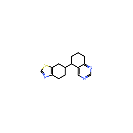 c1ncc2c(n1)CCCC2C1CCc2ncsc2C1